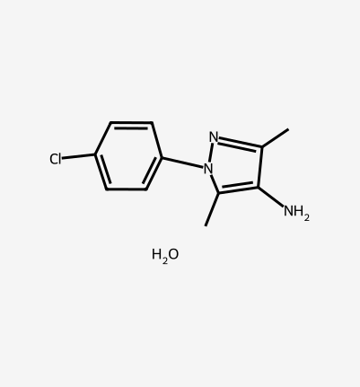 Cc1nn(-c2ccc(Cl)cc2)c(C)c1N.O